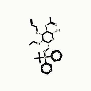 C=CCO[C@@H]1[C@@H](OC(C)=O)[C@H](S)O[C@H](CO[Si](c2ccccc2)(c2ccccc2)C(C)(C)C)[C@@H]1OCC